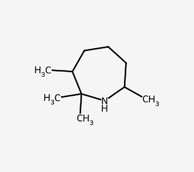 CC1CCCC(C)C(C)(C)N1